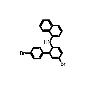 BrC1=CC(c2ccc(Br)cc2)C(Nc2cccc3ccccc23)C=C1